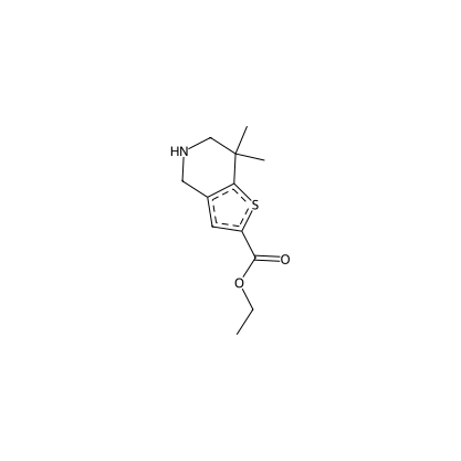 CCOC(=O)c1cc2c(s1)C(C)(C)CNC2